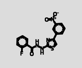 O=C(NNc1nc(-c2cccc([N+](=O)[O-])c2)cs1)c1ccccc1F